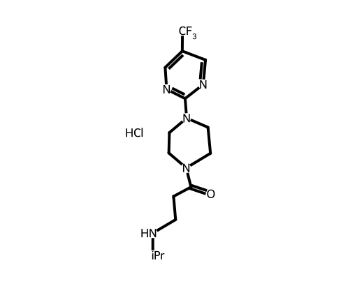 CC(C)NCCC(=O)N1CCN(c2ncc(C(F)(F)F)cn2)CC1.Cl